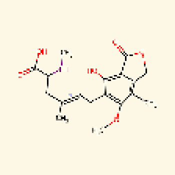 COc1c(C)c2c(c(O)c1C/C=C(\C)CC(PC)C(=O)O)C(=O)OC2